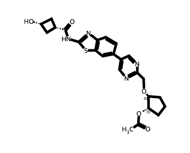 CC(=O)O[C@H]1CCC[C@@H]1OCc1ncc(-c2ccc3nc(NC(=O)[C@H]4C[C@@H](O)C4)sc3c2)cn1